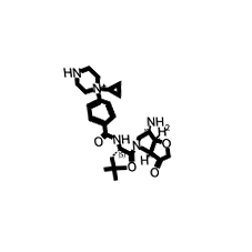 CC(C)(C)C[C@H](NC(=O)c1ccc([N+]2(C3CC3)CCNCC2)cc1)C(=O)N1C[C@H](N)[C@H]2OCC(=O)[C@H]21